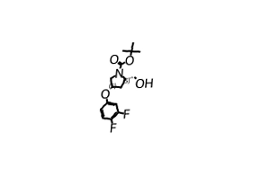 CC(C)(C)OC(=O)N1C[C@@H](Oc2ccc(F)c(F)c2)C[C@H]1CO